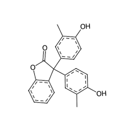 Cc1cc(C2(c3ccc(O)c(C)c3)C(=O)Oc3ccccc32)ccc1O